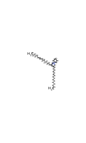 CCCCCCCCCCCCCCCCc1cc(CCCCCCCCCCCCCCCC)c[n+](-c2ccccc2)c1